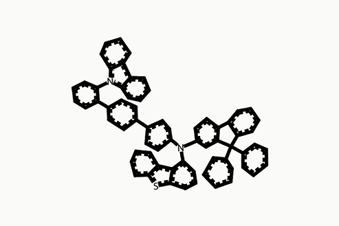 c1ccc(C2(c3ccccc3)c3ccccc3-c3ccc(N(c4ccc(-c5ccc(-c6ccccc6-n6c7ccccc7c7ccccc76)cc5)cc4)c4cccc5sc6ccccc6c45)cc32)cc1